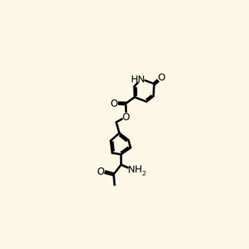 CC(=O)C(N)c1ccc(COC(=O)c2ccc(=O)[nH]c2)cc1